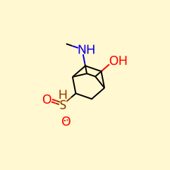 CNC1C(O)C2CCC1C([SH](=O)=O)C2